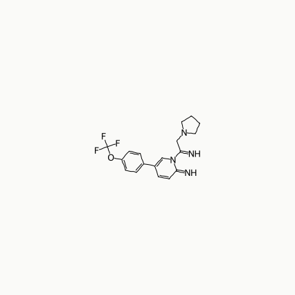 N=C(CN1CCCC1)n1cc(-c2ccc(OC(F)(F)F)cc2)ccc1=N